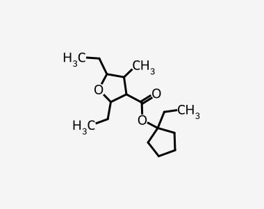 CCC1OC(CC)C(C(=O)OC2(CC)CCCC2)C1C